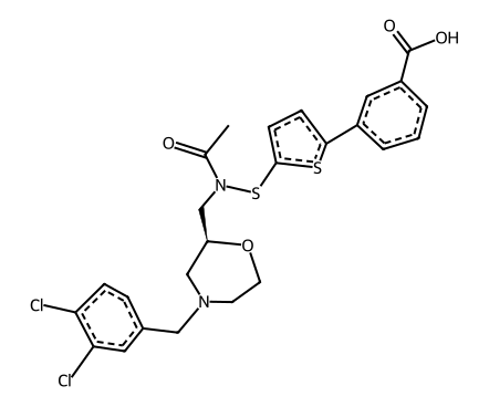 CC(=O)N(C[C@@H]1CN(Cc2ccc(Cl)c(Cl)c2)CCO1)Sc1ccc(-c2cccc(C(=O)O)c2)s1